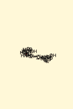 CCC(C(=O)NC(=O)O)N1C(c2nc(-c3ccc(C#Cc4ccc(-c5c[nH]c([C@@H]6C[C@H]7C[C@H]7N6[C@](C)(C(=O)NC(=O)O)C(C)C)n5)cc4)cc3)c[nH]2)CC2CC21